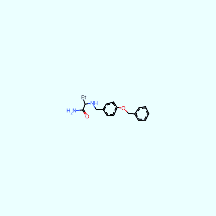 CCC(NCc1ccc(OCc2ccccc2)cc1)C(N)=O